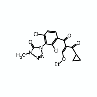 CCOC=C(C(=O)c1ccc(Cl)c(-n2nnn(C)c2=O)c1Cl)C(=O)C1CC1